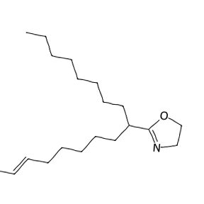 CC=CCCCCCC(CCCCCCCC)C1=NCCO1